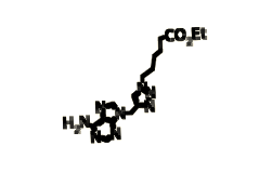 CCOC(=O)CCCCCn1cc(Cn2cnc3c(N)ncnc32)nn1